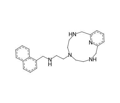 c1cc2nc(c1)CNCCN(CCNCc1cccc3ccccc13)CCNC2